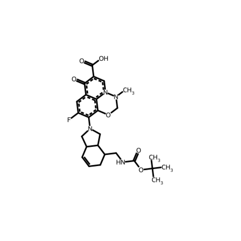 CN1COc2c(N3CC4C=CCC(CNC(=O)OC(C)(C)C)C4C3)c(F)cc3c(=O)c(C(=O)O)cn1c23